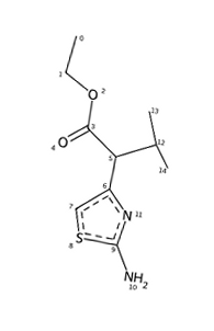 CCOC(=O)C(c1csc(N)n1)C(C)C